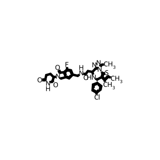 Cc1sc2c(c1C)[C@H](c1ccc(Cl)cc1)NC(CC(=O)NCc1cc(F)c3c(c1)CN(C1CCC(=O)NC1=O)C3=O)c1nnc(C)n1-2